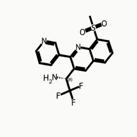 CS(=O)(=O)c1cccc2cc([C@@H](N)C(F)(F)F)c(-c3cccnc3)nc12